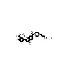 NC(=O)c1cc(-c2cc(Cl)c3ccc(C(=O)N4CCN(CCCC(=O)O)CC4)cc3n2)ccc1F